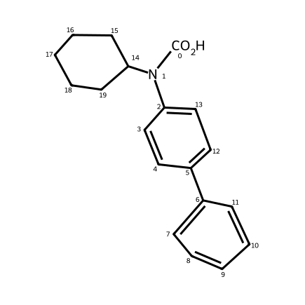 O=C(O)N(c1ccc(-c2ccccc2)cc1)C1CCCCC1